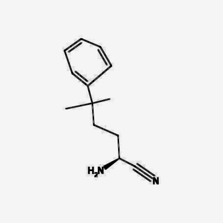 CC(C)(CC[C@H](N)C#N)c1ccccc1